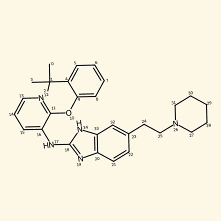 CC(C)(C)c1ccccc1Oc1ncccc1Nc1nc2ccc(CCN3CCCCC3)cc2[nH]1